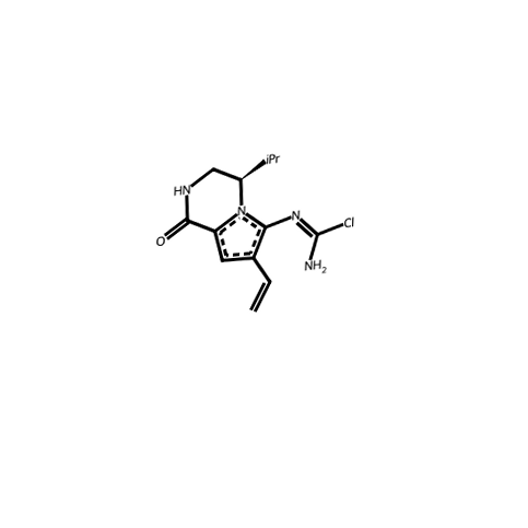 C=Cc1cc2n(c1/N=C(\N)Cl)[C@H](C(C)C)CNC2=O